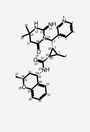 CC1[C@@H](C(c2cccnc2)N2C(=N)NC(C)(C)CC2=O)[C@@H]1C(=O)N[C@H]1C[C@H](C)Oc2ccccc21